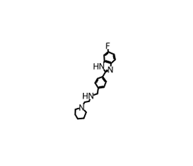 Fc1ccc2nc(-c3ccc(CNCCN4CCCCC4)cc3)[nH]c2c1